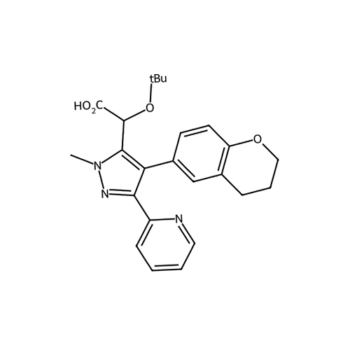 Cn1nc(-c2ccccn2)c(-c2ccc3c(c2)CCCO3)c1C(OC(C)(C)C)C(=O)O